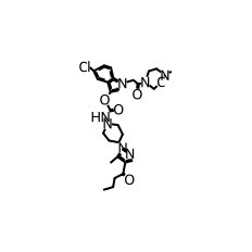 CCCC(=O)c1cnn(C2CCN(NC(=O)Oc3cn(CC(=O)N4CCN(C)CC4)c4ccc(Cl)cc34)CC2)c1C